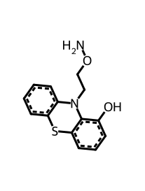 NOCCN1c2ccccc2Sc2cccc(O)c21